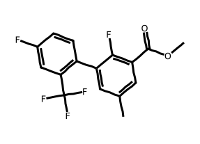 COC(=O)c1cc(C)cc(-c2ccc(F)cc2C(F)(F)F)c1F